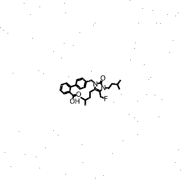 CC(C)CCc1c(CF)n(CCC(C)C)c(=O)n1Cc1ccc(-c2ccccc2C(=O)O)cc1